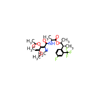 C=N/C(C(=O)N[C@@H](C)C(=O)O[C@@H](C)[C@@H](C)c1ccc(F)cc1C(F)(F)F)=C(OC(C)=O)\C(=C/C)OC